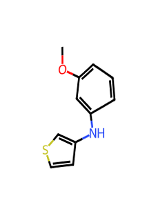 COc1cccc(Nc2ccsc2)c1